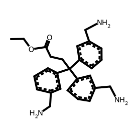 CCOC(=O)CCC(c1cccc(CN)c1)(c1cccc(CN)c1)c1cccc(CN)c1